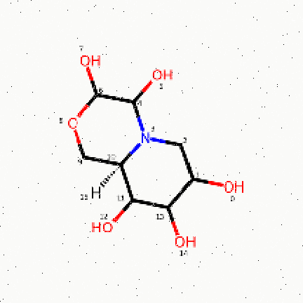 OC1CN2C(O)C(O)OC[C@@H]2C(O)C1O